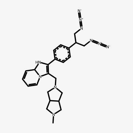 CN1CC2CN(CC3=C(c4ccc(C(CN=[N+]=[N-])CN=[N+]=[N-])cc4)NC4C=CC=CN34)CC2C1